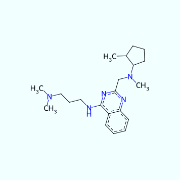 CC1CCCC1N(C)Cc1nc(NCCCN(C)C)c2ccccc2n1